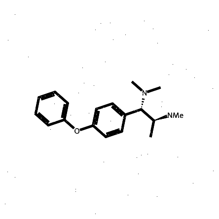 CN[C@@H](C)[C@H](c1ccc(Oc2ccccc2)cc1)N(C)C